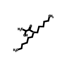 CCCCCCN(CCCCCC)C(=O)C(C)O